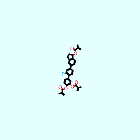 C=C(C)C(=O)Oc1ccc(-c2ccc(-c3ccc4c(c3)CCC4OC(=O)C(=C)C)cc2F)cc1OC(=O)C(=C)C